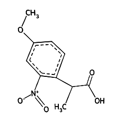 COc1ccc(C(C)C(=O)O)c([N+](=O)[O-])c1